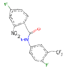 O=C(Nc1ccc(F)c(C(F)(F)F)c1)c1ccc(F)cc1[N+](=O)[O-]